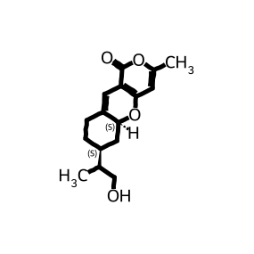 Cc1cc2c(c(=O)o1)C=C1CC[C@H](C(C)CO)C[C@@H]1O2